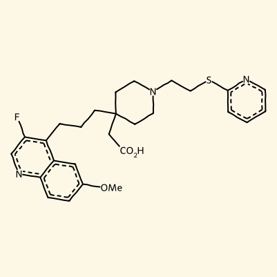 COc1ccc2ncc(F)c(CCCC3(CC(=O)O)CCN(CCSc4ccccn4)CC3)c2c1